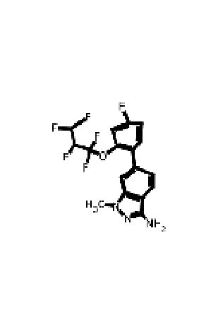 Cn1nc(N)c2ccc(-c3ccc(F)cc3OC(F)(F)C(F)C(F)F)cc21